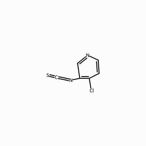 S=C=Nc1cnccc1Cl